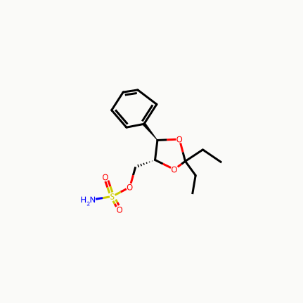 CCC1(CC)O[C@H](c2ccccc2)[C@@H](COS(N)(=O)=O)O1